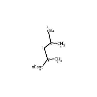 CCCCCC(C)CC(C)CCCC